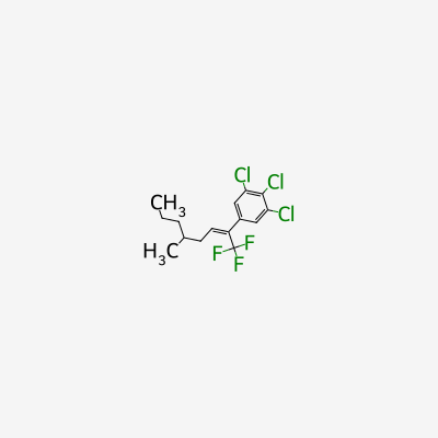 CCCC(C)CC=C(c1cc(Cl)c(Cl)c(Cl)c1)C(F)(F)F